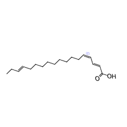 CCC=CCCCCCCCCC/C=C\C=CC(=O)O